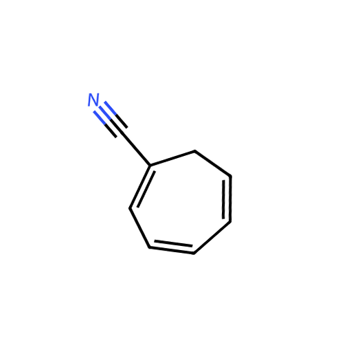 N#CC1=CC=CC=CC1